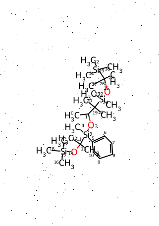 CC(O[Si](C)(c1ccccc1)C(C)(C)O[Si](C)(C)C)C(C)(C)[Si](C)(C)OC(C)(C)[Si](C)(C)C